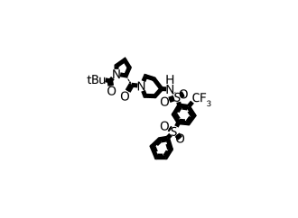 CC(C)(C)C(=O)N1CCC[C@@H]1C(=O)N1CCC(NS(=O)(=O)c2cc(S(=O)(=O)c3ccccc3)ccc2C(F)(F)F)CC1